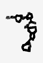 CN1CCN(c2cc(C(=O)Nc3cc4cc(-c5ccccn5)ncc4cn3)ccn2)CC1